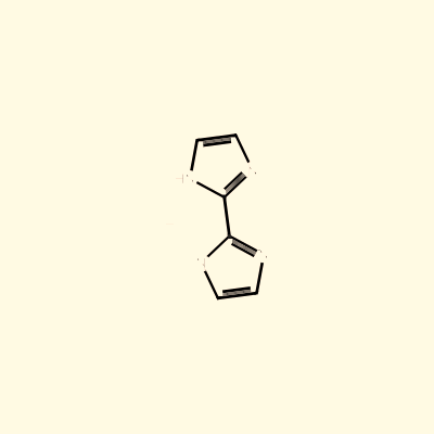 [H+].c1c[nH]c(-c2ncc[nH]2)n1